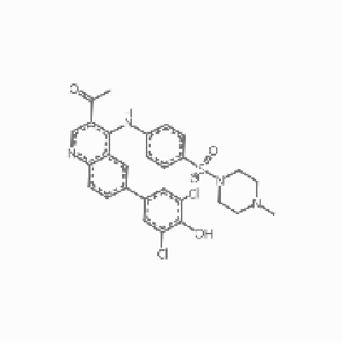 CC(=O)c1cnc2ccc(-c3cc(Cl)c(O)c(Cl)c3)cc2c1Nc1ccc(S(=O)(=O)N2CCN(C)CC2)cc1